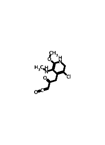 CNC1=C(OC)NCC(Cl)=C1CC(=O)C=C=O